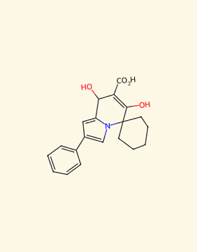 O=C(O)C1=C(O)C2(CCCCC2)n2cc(-c3ccccc3)cc2C1O